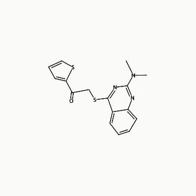 CN(C)c1nc(SCC(=O)c2cccs2)c2ccccc2n1